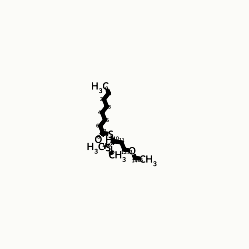 CCCCCCCC(=O)SC(CCOCC)[SiH](C)C